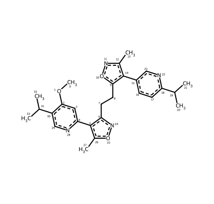 COc1cc(-c2c(CCc3onc(C)c3-c3ccc(C(C)C)nc3)noc2C)ncc1C(C)C